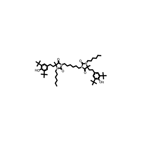 CCCCCCN1C(=O)N(CCCCCCN2C(=O)N(CCCCCC)C(C)(CCc3cc(C(C)(C)C)c(O)c(C(C)(C)C)c3)C2=O)C(=O)C1(C)CCc1cc(C(C)(C)C)c(O)c(C(C)(C)C)c1